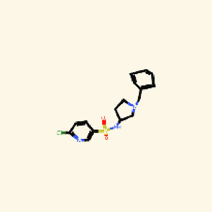 O=S(=O)(NC1CCN(Cc2ccccc2)C1)c1ccc(Cl)nc1